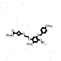 COc1ccc(COc2cc(OCCOC3CC(C(=O)OC(C)(C)C)C3)c(C=O)cc2OC(F)(F)F)cc1